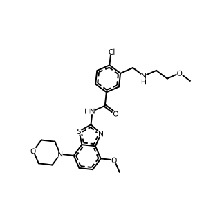 COCCNCc1cc(C(=O)Nc2nc3c(OC)ccc(N4CCOCC4)c3s2)ccc1Cl